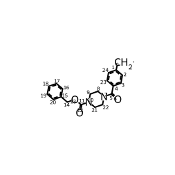 [CH2]c1ccc(C(=O)N2CCN(C(=O)OCc3ccccc3)CC2)cc1